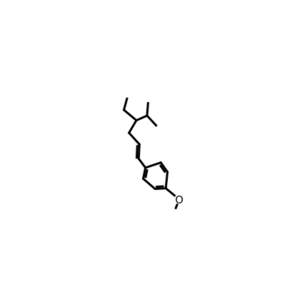 CCC(C/C=C/c1ccc(OC)cc1)C(C)C